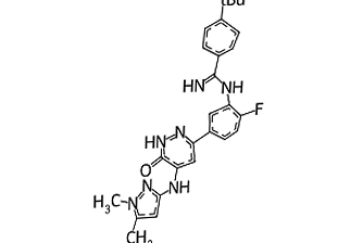 Cc1cc(Nc2cc(-c3ccc(F)c(NC(=N)c4ccc(C(C)(C)C)cc4)c3)n[nH]c2=O)nn1C